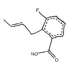 CC=CCc1c(F)cccc1C(=O)O